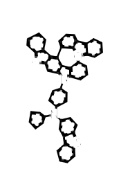 c1ccc(N(c2ccc(-n3c4ccccc4c4c(-c5cccc6c5oc5ccccc56)c5c(cc43)oc3ccccc35)cc2)c2ccc3sc4ccccc4c3c2)cc1